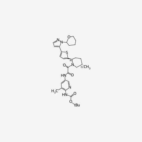 Cc1cc(NC(=O)C(=O)N2C[C@@H](C)CC[C@@H]2c2ccc(-c3ccnn3C3CCCCO3)s2)cnc1NC(=O)OC(C)(C)C